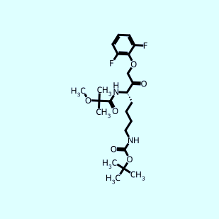 COC(C)(C)C(=O)N[C@@H](CCCCNC(=O)OC(C)(C)C)C(=O)COc1c(F)cccc1F